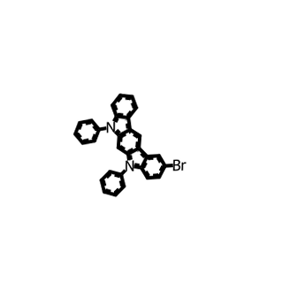 Brc1ccc2c(c1)c1cc3c4ccccc4n(-c4ccccc4)c3cc1n2-c1ccccc1